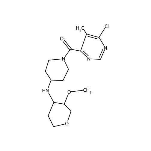 COC1COCCC1NC1CCN(C(=O)c2ncnc(Cl)c2C)CC1